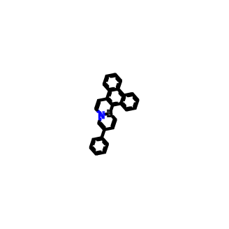 C1=CC(c2ccccc2)=CN2C=Cc3c(c4ccccc4c4ccccc34)B12